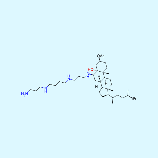 CC(=O)O[C@H]1CC[C@]2(C)[C@H]3CC[C@]4(C)[C@@H]([C@H](C)CC[C@@H](C)C(C)C)CC[C@H]4[C@@H]3C[C@@H](NCCCNCCCCNCCCN)[C@@]2(O)C1